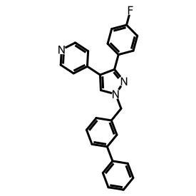 Fc1ccc(-c2nn(Cc3cccc(-c4ccccc4)c3)cc2-c2ccncc2)cc1